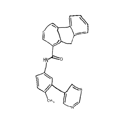 Cc1ccc(NC(=O)c2cccc3c2Cc2ccccc2-3)cc1-c1cncnc1